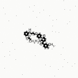 CCC(=O)Oc1ccccc1NCCCOc1ccc(-n2c(N)c(C(=O)c3ccc(F)c(C)c3)ccc2=O)cc1